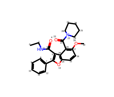 CCNC(=O)c1c(-c2ccccc2)oc2ccc(OC)c(C(=O)N3CCCCC3)c12